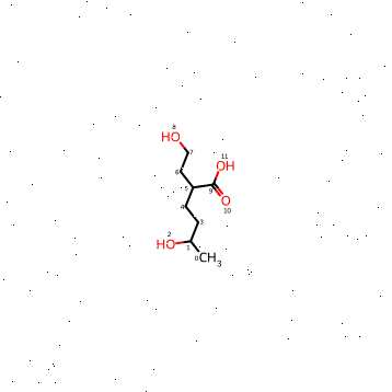 CC(O)CCC(CCO)C(=O)O